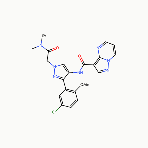 COc1ccc(Cl)cc1-c1nn(CC(=O)N(C)C(C)C)cc1NC(=O)c1cnn2cccnc12